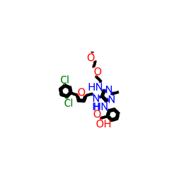 COCCOCCNc1nc(C)nc(Nc2ccccc2C(=O)O)c1NCc1ccc(-c2cc(Cl)ccc2Cl)o1